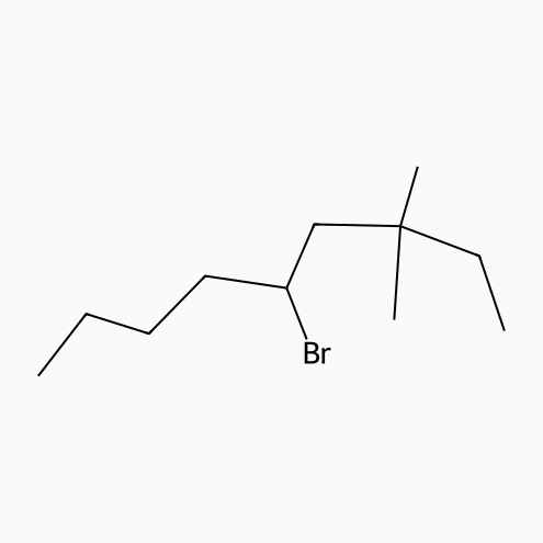 CCCCC(Br)CC(C)(C)CC